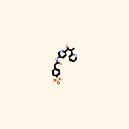 CCS(=O)(=O)c1ccc(CC(=O)Nc2ccc(C(=O)C(C)c3ccccn3)nc2)cc1